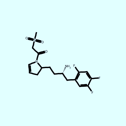 CS(=O)(=O)CC(=O)N1C=CCC1CC[C@H](N)Cc1cc(F)c(F)cc1F